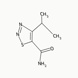 CC(C)c1nnsc1C(N)=O